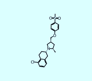 C[C@@H]1C[C@H](COc2ccc(S(C)(=O)=O)cc2)CN1[C@H]1CCc2c(Cl)cccc2C1